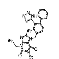 CCn1c(=O)c2c(nc(C(C)C)n2Cc2ccc(-c3ccccc3)c(-c3nnn[nH]3)c2)n(CC(C)C)c1=O